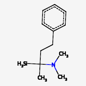 CN(C)C(C)([SiH3])CCc1ccccc1